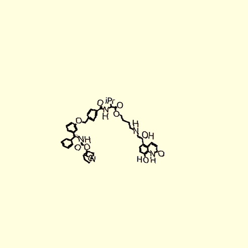 CC(C)C(NC(=O)c1ccc(COc2cccc([C@@H](NC(=O)OC3CN4CCC3CC4)c3ccccc3)c2)cc1)C(=O)OCCCCNCC(O)c1ccc(O)c2[nH]c(=O)ccc12